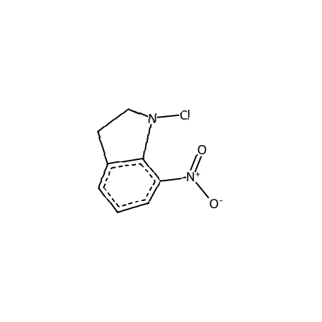 O=[N+]([O-])c1cccc2c1N(Cl)CC2